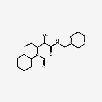 CCC(C(O)C(=O)NCC1CCCCC1)N(C=O)C1CCCCC1